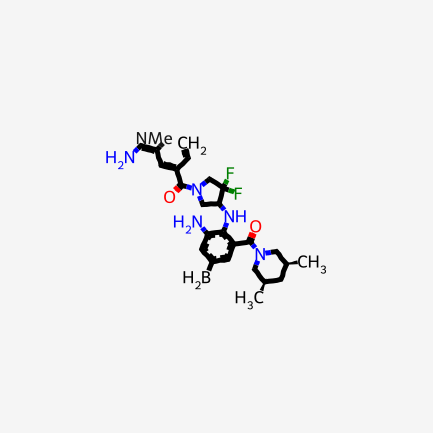 Bc1cc(N)c(NC2CN(C(=O)/C(C=C)=C/C(=C\N)NC)CC2(F)F)c(C(=O)N2C[C@H](C)C[C@H](C)C2)c1